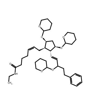 CCNC(=O)CCC/C=C\C[C@@H]1[C@@H](/C=C/C(CCc2ccccc2)OC2CCCCO2)[C@H](OC2CCCCO2)C[C@@H]1OC1CCCCO1